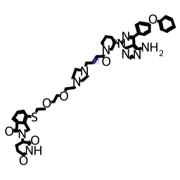 Nc1ncnc2c1c(-c1ccc(Oc3ccccc3)cc1)nn2[C@@H]1CCCN(C(=O)/C=C/CN2CCN(CCOCCOCCSc3cccc4c3CN(C3CCC(=O)NC3=O)C4=O)CC2)C1